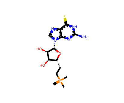 C=P(C)(C)CC[C@H]1O[C@@H](n2cnc3c(=S)[nH]c(N)nc32)[C@H](O)[C@@H]1O